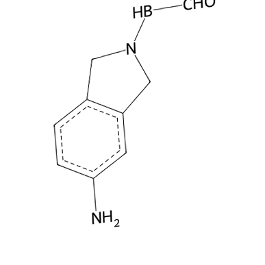 Nc1ccc2c(c1)CN(BC=O)C2